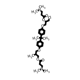 CC(COC(=O)CCN(C)C)COc1ccc(C(C)(C)c2ccc(OCC(CCl)OC(=O)CCN(C)C)cc2)cc1